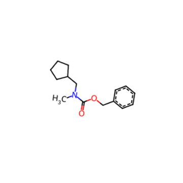 CN(CC1CCCC1)C(=O)OCc1ccccc1